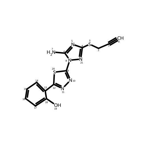 C#CCSc1nc(N)n(-c2nnc(-c3ccccc3O)s2)n1